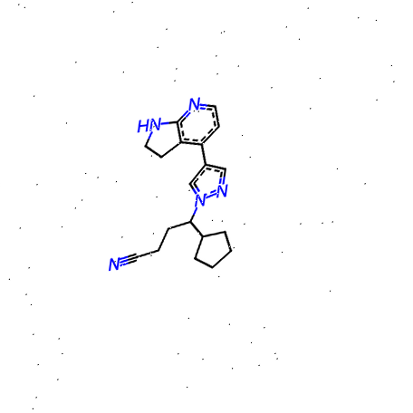 N#CCCC(C1CCCC1)n1cc(-c2ccnc3c2CCN3)cn1